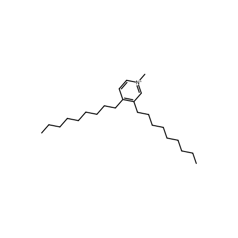 CCCCCCCCCc1cc[n+](C)cc1CCCCCCCCC